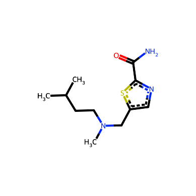 CC(C)CCN(C)Cc1cnc(C(N)=O)s1